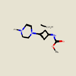 CC(=O)N1CCN(C2CC(NC(=O)OC(C)(C)C)C2)CC1.CC(=O)O